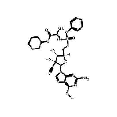 C#C[C@]1(O)C(n2cnc3c(OCC)nc(N)nc32)O[C@](F)(COP(=O)(NC(C)C(=O)OC2CCCCC2)Oc2ccccc2)[C@H]1O